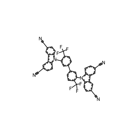 N#Cc1ccc2c(c1)c1cc(C#N)ccc1n2-c1cc(-c2ccc(C(F)(F)F)c(-n3c4ccc(C#N)cc4c4cc(C#N)ccc43)c2)ccc1C(F)(F)F